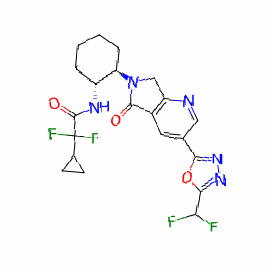 O=C1c2cc(-c3nnc(C(F)F)o3)cnc2CN1[C@@H]1CCCC[C@H]1NC(=O)C(F)(F)C1CC1